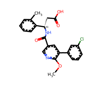 COc1ncc(C(=O)N[C@@H](CC(=O)O)c2ccccc2C)cc1-c1cccc(Cl)c1